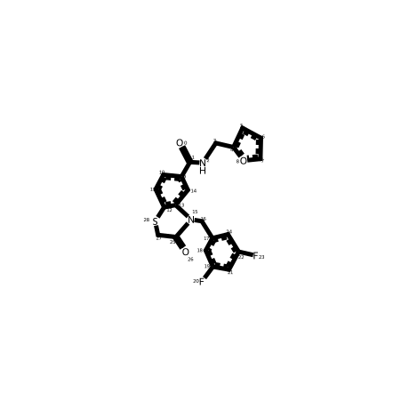 O=C(NCc1ccco1)c1ccc2c(c1)N(Cc1cc(F)cc(F)c1)C(=O)CS2